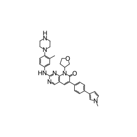 Cc1cc(Nc2ncc3cc(-c4ccc(-c5ccn(C)c5)cc4)c(=O)n(C4CCOC4)c3n2)ccc1N1CCNCC1